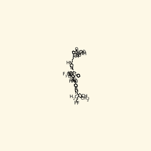 C=C(CCC(F)F)C1=C(CN2CCN(c3ccc(C(=O)NS(=O)(=O)c4ccc(N[C@H](CCN5CCC(NCCCCNc6cccc7c6C(=O)N(C6CCC(=O)NC6=O)C7=O)CC5)CSc5ccccc5)c(S(=O)(=O)C(F)(F)F)c4)cc3)CC2)CCC(C)(C)C1